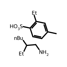 CCCCC(CC)CN.CCc1cc(C)ccc1S(=O)(=O)O